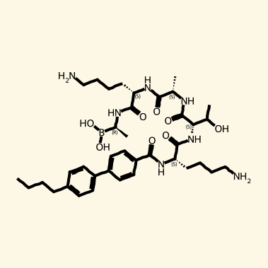 CCCCc1ccc(-c2ccc(C(=O)N[C@@H](CCCCN)C(=O)N[C@H](C(=O)N[C@@H](C)C(=O)N[C@@H](CCCCN)C(=O)N[C@@H](C)B(O)O)C(C)O)cc2)cc1